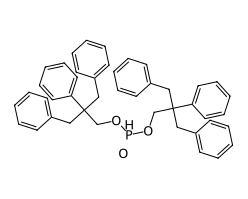 O=[PH](OCC(Cc1ccccc1)(Cc1ccccc1)c1ccccc1)OCC(Cc1ccccc1)(Cc1ccccc1)c1ccccc1